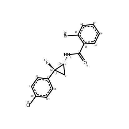 O=C(N[C@@H]1C[C@]1(F)c1ccc(Cl)cc1)c1ccccc1Br